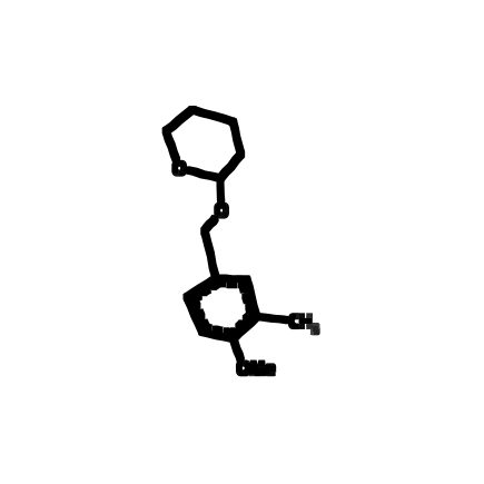 COc1ccc(COC2CCCCO2)cc1C